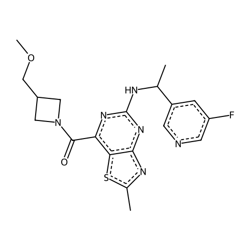 COCC1CN(C(=O)c2nc(NC(C)c3cncc(F)c3)nc3nc(C)sc23)C1